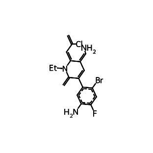 C=C(Cl)/C=C1\C(=C/N)C=C(c2cc(N)c(F)cc2Br)C(=C)N1CC